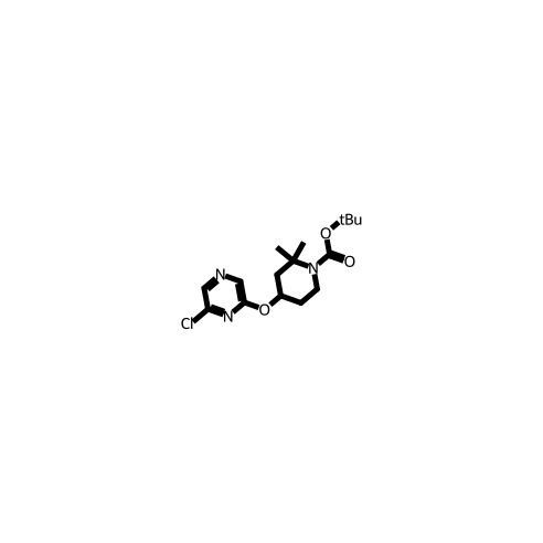 CC(C)(C)OC(=O)N1CCC(Oc2cncc(Cl)n2)CC1(C)C